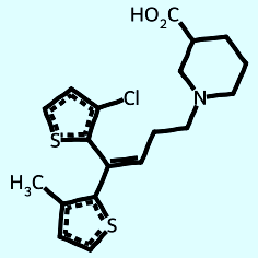 Cc1ccsc1C(=CCCN1CCCC(C(=O)O)C1)c1sccc1Cl